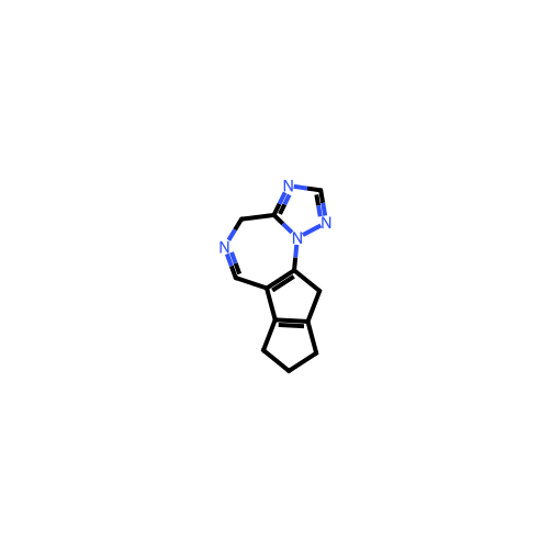 C1=NCc2ncnn2C2=C1C1=C(CCC1)C2